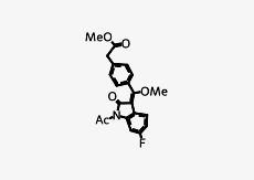 COC(=O)Cc1ccc(/C(OC)=C2\C(=O)N(C(C)=O)c3cc(F)ccc32)cc1